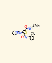 CSCCNC(=O)c1cc(/N=C/N2CCCCC2)c(C(=O)N(C)Cc2ccccc2C#N)s1